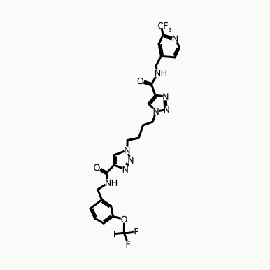 O=C(NCc1cccc(OC(F)(F)I)c1)c1cn(CCCCn2cc(C(=O)NCc3ccnc(C(F)(F)F)c3)nn2)nn1